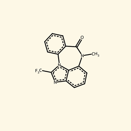 CN1C(=O)c2ccccc2-n2c(C(F)(F)F)nc3cccc1c32